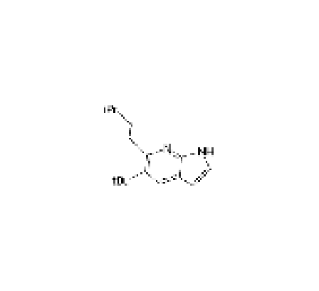 CC(C)CCc1nc2[nH]ccc2cc1C(C)(C)C